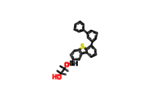 CC(C)(O)C(C)(C)OBc1ccc2sc3c(-c4cccc(-c5ccccc5)c4)cccc3c2c1